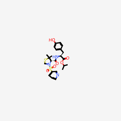 CC(C)OC(=O)[C@H](Cc1ccc(O)cc1)NC(=O)[C@@H]1N(S(=O)(=O)c2cccnc2)CSC1(C)C